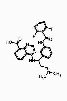 CN(C)CCC(Nc1ncnc2c(C(=O)O)cccc12)c1cccc(NC(=O)c2c(F)cccc2F)c1